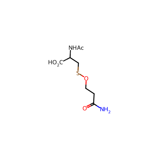 CC(=O)NC(CSOCCC(N)=O)C(=O)O